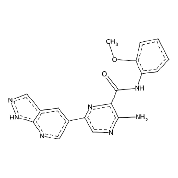 COc1ccccc1NC(=O)c1nc(-c2cnc3[nH]ncc3c2)cnc1N